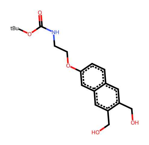 CC(C)(C)OC(=O)NCCOc1ccc2cc(CO)c(CO)cc2c1